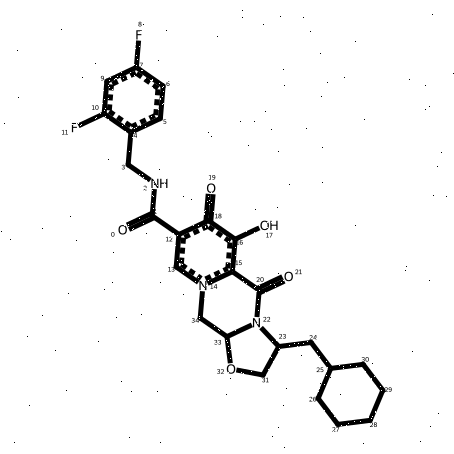 O=C(NCc1ccc(F)cc1F)c1cn2c(c(O)c1=O)C(=O)N1C(CC3CCCCC3)COC1C2